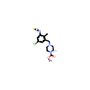 Cc1c(CN2CCN(C(=O)OC(C)C)[C@@H](C)C2)cc(Cl)cc1N=C=S